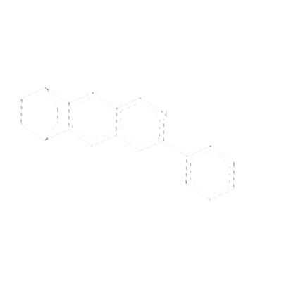 c1ccc(-c2cc3cc4c(cc3cn2)C2CCC4CC2)cc1